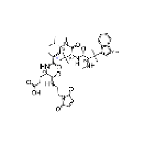 CN[C@H](C(=O)N[C@H](C(=O)N(C)[C@H](/C=C(\C)C(=O)N[C@H](CCC(=O)O)C(=O)NCCN1C(=O)C=CC1=O)C(C)C)C(C)(C)C)C(C)(C)c1cn(C)c2ccccc12